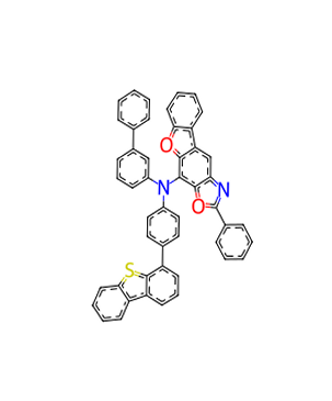 c1ccc(-c2cccc(N(c3ccc(-c4cccc5c4sc4ccccc45)cc3)c3c4oc(-c5ccccc5)nc4cc4c3oc3ccccc34)c2)cc1